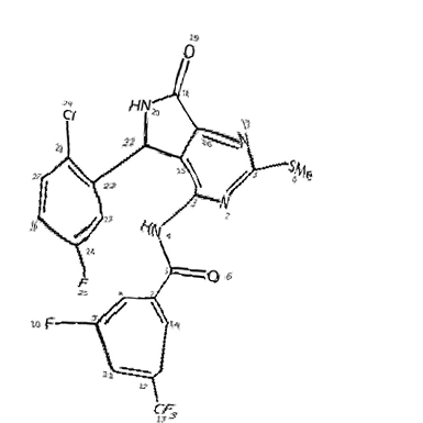 CSc1nc(NC(=O)c2cc(F)cc(C(F)(F)F)c2)c2c(n1)C(=O)NC2c1cc(F)ccc1Cl